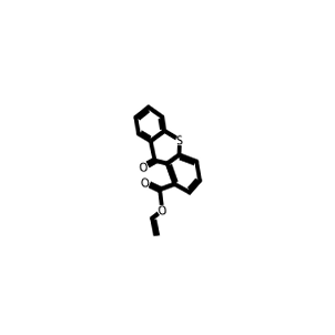 C=COC(=O)c1cccc2sc3ccccc3c(=O)c12